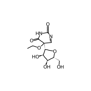 CCOC1([C@@H]2O[C@H](CO)[C@@H](O)[C@H]2O)C=NC(=O)NC1=O